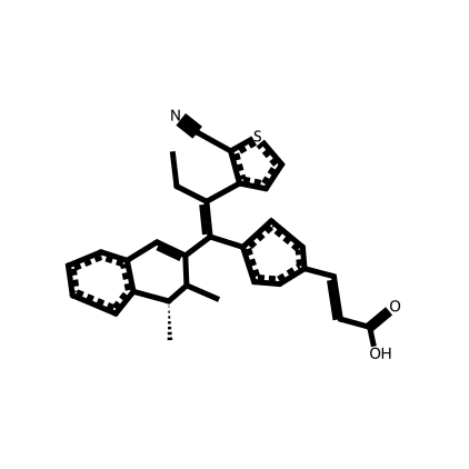 CC/C(=C(\C1=Cc2ccccc2[C@@H](C)C1C)c1ccc(/C=C/C(=O)O)cc1)c1ccsc1C#N